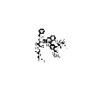 CCOC(=O)CNC(=O)C(=O)[C@@H](COCc1ccccc1)NC(=O)[C@@H](CC1CCCCC1)NC(=O)c1ccc(C(=O)OC)c(NC(=O)OC(C)(C)C)c1